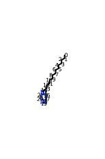 CCCCCCCCCCCCCCCN1CCN(C)CC1